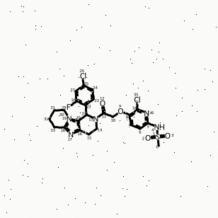 CS(=O)(=O)Nc1ccc(OCC(=O)N2CCc3nc4n(c3C2c2ccc(Cl)cc2F)CCCC4)c(Cl)n1